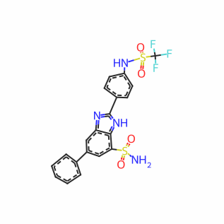 NS(=O)(=O)c1cc(-c2ccccc2)cc2nc(-c3ccc(NS(=O)(=O)C(F)(F)F)cc3)[nH]c12